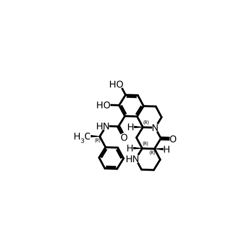 C[C@@H](NC(=O)c1c(O)c(O)cc2c1[C@H]1C[C@H]3NCCC[C@H]3C(=O)N1CC2)c1ccccc1